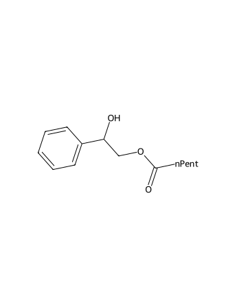 CCCCCC(=O)OCC(O)c1ccccc1